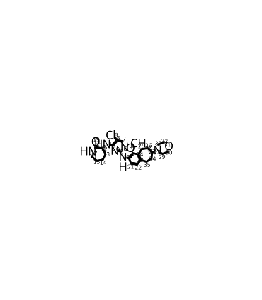 COc1c(Nc2ncc(Cl)c(NC3CCCCNC3=O)n2)ccc2c1CCC(N1CCOCC1)CC2